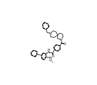 Nc1ccc(-c2ccccc2)cc1NC(=O)c1ccc(C(=O)N2CCCC3(CCN(Cc4ccccc4)CC3)C2)cc1